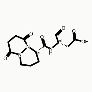 O=C[C@H](CC(=O)O)NC(=O)[C@@H]1CCCN2C(=O)CCC(=O)N12